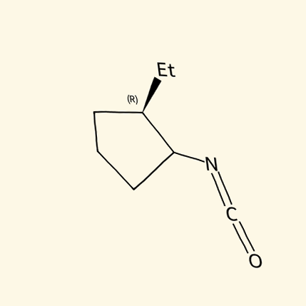 CC[C@@H]1CCCC1N=C=O